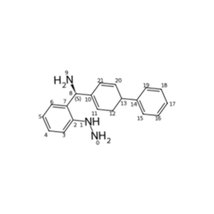 NNc1ccccc1[C@@H](N)C1=CCC(c2ccccc2)C=C1